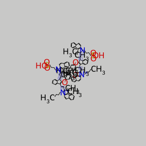 CCCCC[N+]1=C(/C=C/C2=C(Oc3ccc(C(C)(c4ccccc4)c4ccc(OC5=C(/C=C/C6=[N+](CCCCC)c7ccc8ccccc8c7C6(C)C)c6ccccc6/C5=C\C=C5\N(CCCCS(=O)(=O)O)c6ccc7ccccc7c6C5(C)C)cc4)cc3)C(=C/C=C3/N(CCCCS(=O)(=O)O)c4ccc5ccccc5c4C3(C)C)/c3ccccc32)C(C)(C)c2c1ccc1ccccc21